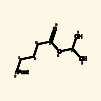 CCCCCCCCC(=O)OC(O)O